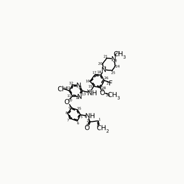 C=CC(=O)Nc1cccc(Oc2nc(Nc3ccc(N4CCN(C)CC4)c(F)c3OC)ncc2Cl)c1